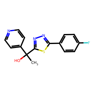 CC(O)(c1ccncc1)c1nnc(-c2ccc(F)cc2)s1